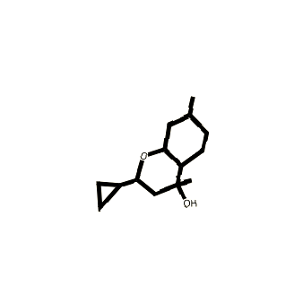 CC1CCC2C(C1)OC(C1CC1)CC2(C)O